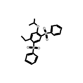 CCc1cc(OC(C)C)c(S(=O)(=O)c2ccccc2)cc1S(=O)(=O)c1ccccc1